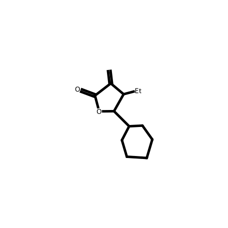 C=C1C(=O)OC(C2CCCCC2)C1CC